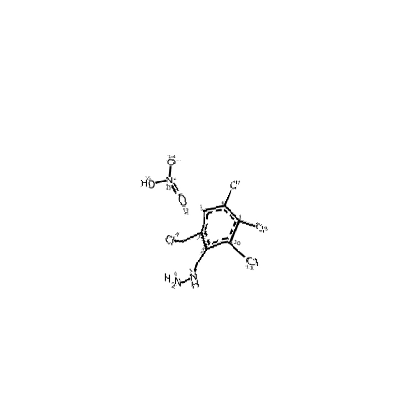 NNc1c(Cl)cc(Cl)c(Cl)c1Cl.O=[N+]([O-])O